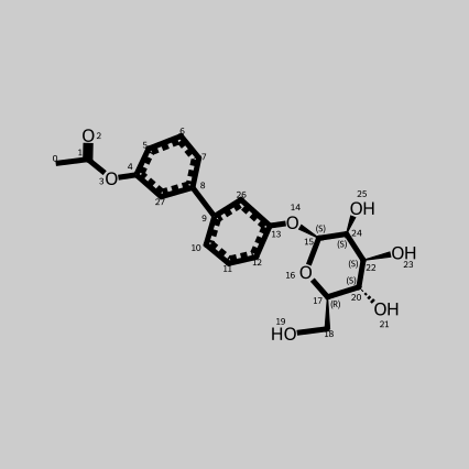 CC(=O)Oc1cccc(-c2cccc(O[C@@H]3O[C@H](CO)[C@@H](O)[C@H](O)[C@@H]3O)c2)c1